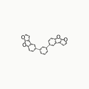 c1cc(-c2ccc3oc4occc4c3c2)cc(-c2ccc3oc4occc4c3c2)c1